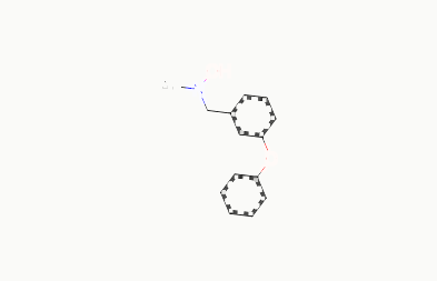 CC(=O)N(O)Cc1cccc(Oc2ccccc2)c1